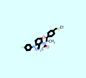 CCSCc1ccc([C@H](Oc2ccc3c(cnn3-c3ccc(F)cc3)c2)[C@H](C)NC(=O)C(F)(F)F)cc1